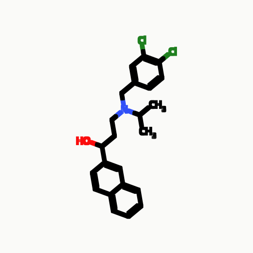 CC(C)N(CCC(O)c1ccc2ccccc2c1)Cc1ccc(Cl)c(Cl)c1